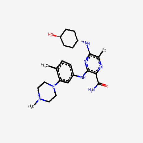 CCc1nc(C(N)=O)c(Nc2ccc(C)c(N3CCN(C)CC3)c2)nc1N[C@H]1CC[C@H](O)CC1